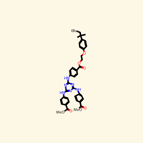 COC(=O)c1ccc(Nc2nc(Nc3ccc(C(=O)OC)cc3)nc(Nc3ccc(C(=O)OCCOc4ccc(C(C)(C)CC(C)(C)C)cc4)cc3)n2)cc1